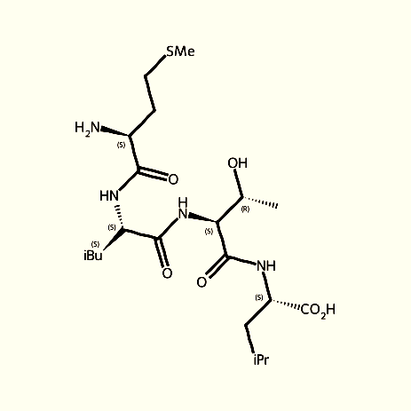 CC[C@H](C)[C@H](NC(=O)[C@@H](N)CCSC)C(=O)N[C@H](C(=O)N[C@@H](CC(C)C)C(=O)O)[C@@H](C)O